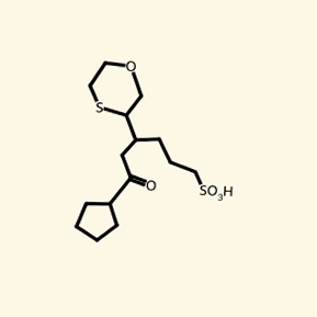 O=C(CC(CCCS(=O)(=O)O)C1COCCS1)C1CCCC1